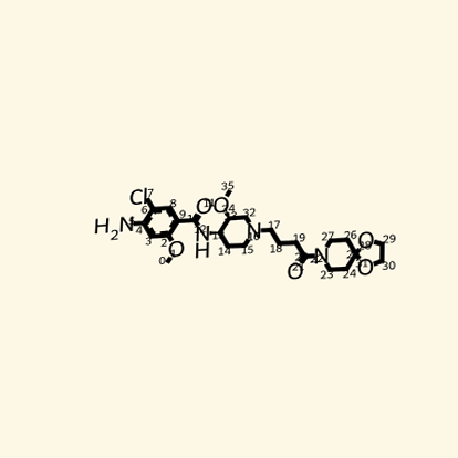 COc1cc(N)c(Cl)cc1C(=O)N[C@@H]1CCN(CCCC(=O)N2CCC3(CC2)OCCO3)C[C@@H]1OC